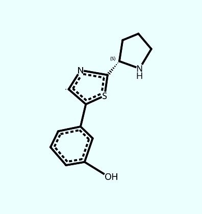 Oc1cccc(-c2[c]nc([C@@H]3CCCN3)s2)c1